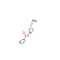 COCCCC1C[C@@H](OC(=O)c2ccccc2)CO1